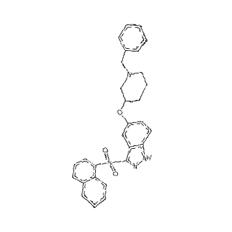 O=S(=O)(c1cccc2ccccc12)c1n[nH]c2ccc(OC3CCCN(Cc4ccccc4)C3)cc12